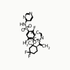 C=C([C@H]1CCC(F)(F)C[C@]1(C)Oc1cc(F)c(S(=O)(=O)Nc2ccncn2)cc1F)N(C)/N=C\C